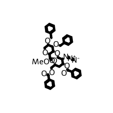 COC(=O)C1OCC(OCc2ccccc2)C(OCc2ccccc2)C1OC1OC(COC(=O)c2ccccc2)CC(OC(=O)c2ccccc2)C1N=[N+]=[N-]